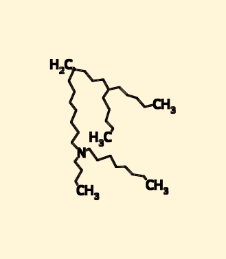 C=C(CCCCCCCN(CCCC)CCCCCCCC)CCCC(CCCCC)CCCCC